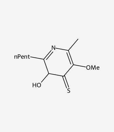 CCCCCC1=NC(C)=C(OC)C(=S)C1O